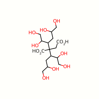 O=C(O)CC(C(=O)O)(C(CC(O)CO)C(O)CO)C(CC(O)CO)C(O)CO